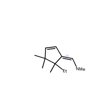 CCC1(C)/C(=C\NC)C=CC1(C)C